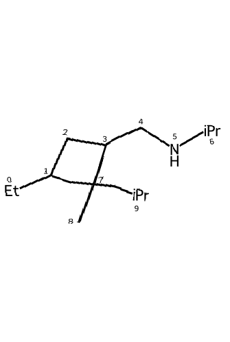 CCC1CC(CNC(C)C)C1(C)C(C)C